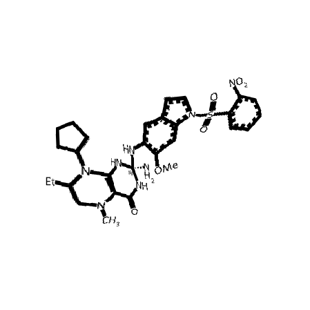 CCC1CN(C)C2=C(N[C@@](N)(Nc3cc4ccn(S(=O)(=O)c5ccccc5[N+](=O)[O-])c4cc3OC)NC2=O)N1C1CCCC1